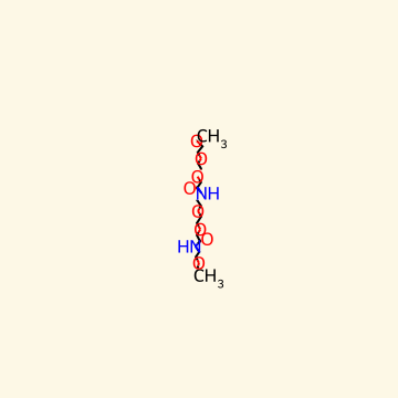 CCOCCNC(=O)COCCOCCNC(=O)COCCOCCOC